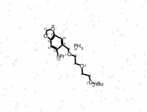 CCCCOCCOCCOCc1cc2c(cc1CCC)OCO2.P